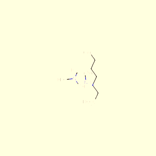 CC(C)(C)CCCCCC(=O)O.CCCCN.CN(C)C